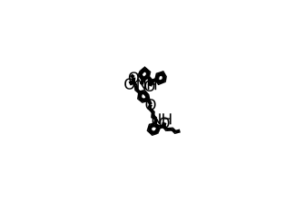 CCCCC(=O)c1ccccc1NCCCOc1ccc(CC(Nc2ccccc2C(=O)c2ccccc2)C(=O)OC)cc1